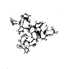 CCn1c2ccccc2c2c(-c3cccc4c(-c5ccc6ccccc6c5-c5ccccc5)c5cccc(-c6cccc7c6c6ccccc6n7CC)c5cc34)cccc21